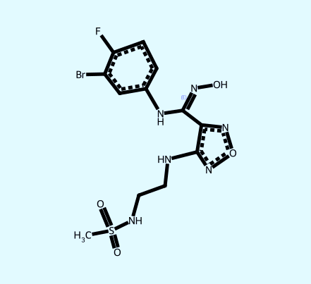 CS(=O)(=O)NCCNc1nonc1/C(=N\O)Nc1ccc(F)c(Br)c1